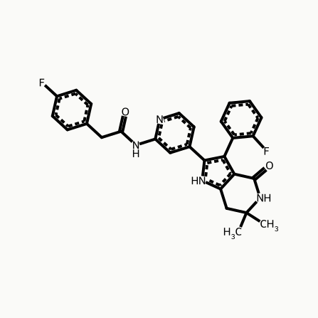 CC1(C)Cc2[nH]c(-c3ccnc(NC(=O)Cc4ccc(F)cc4)c3)c(-c3ccccc3F)c2C(=O)N1